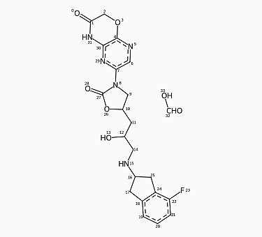 O=C1COc2ncc(N3CC(CC(O)CNC4Cc5cccc(F)c5C4)OC3=O)nc2N1.O=CO